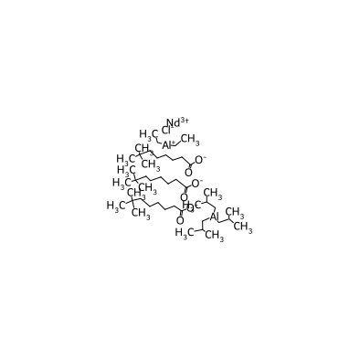 CC(C)(C)CCCCCC(=O)[O-].CC(C)(C)CCCCCC(=O)[O-].CC(C)(C)CCCCCC(=O)[O-].CC(C)[CH2][Al]([CH2]C(C)C)[CH2]C(C)C.C[CH2][Al+][CH2]C.[Cl-].[Nd+3]